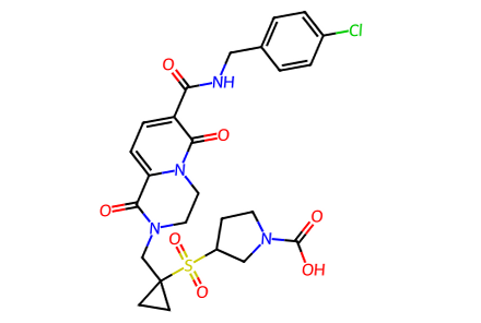 O=C(NCc1ccc(Cl)cc1)c1ccc2n(c1=O)CCN(CC1(S(=O)(=O)C3CCN(C(=O)O)C3)CC1)C2=O